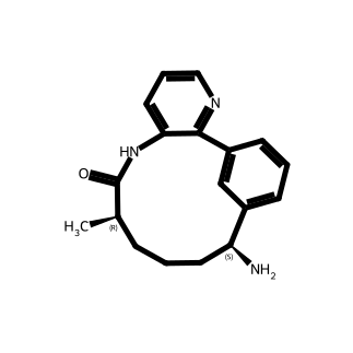 C[C@@H]1CCC[C@H](N)c2cccc(c2)-c2ncccc2NC1=O